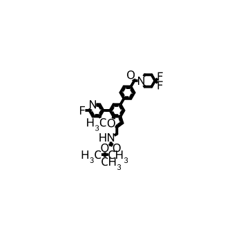 Cc1cc(F)ncc1-c1cc(-c2ccc(C(=O)N3CCC(F)(F)CC3)cc2)cc2cc(CNC(=O)OC(C)(C)C)oc12